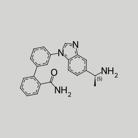 C[C@H](N)c1ccc2c(c1)ncn2-c1cccc(-c2ccccc2C(N)=O)c1